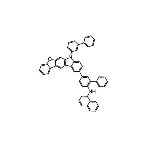 c1ccc(-c2cccc(-n3c4ccc(-c5ccc(Nc6cccc7ccccc67)c(-c6ccccc6)c5)cc4c4cc5c(cc43)oc3ccccc35)c2)cc1